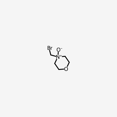 [O-][N+]1(CBr)CCOCC1